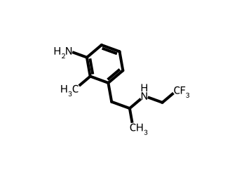 Cc1c(N)cccc1CC(C)NCC(F)(F)F